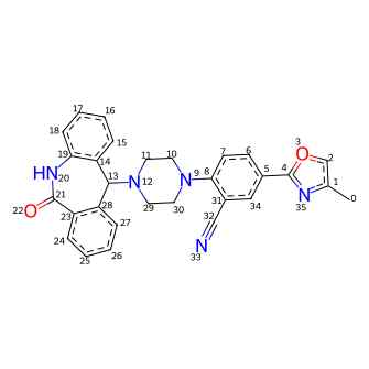 Cc1coc(-c2ccc(N3CCN(C4c5ccccc5NC(=O)c5ccccc54)CC3)c(C#N)c2)n1